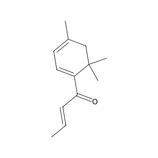 CC=CC(=O)C1=CC=C(C)CC1(C)C